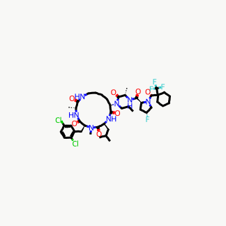 CCCN(C(=O)[C@H](C)NC(=O)[C@@H]1C[C@@H](F)CN1C(=O)C1(C(F)(F)F)CCCCC1)[C@H]1CCCCNC(=O)[C@@H](C)NC(=O)[C@H](Cc2cc(Cl)ccc2Cl)N(C)C(=O)[C@H](CC(C)C)NC1=O